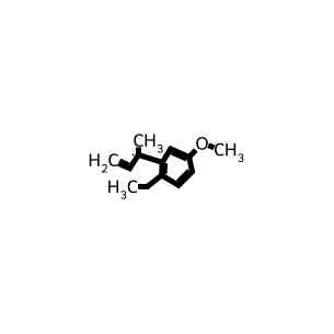 C=C[C](C)c1cc(OC)ccc1CC